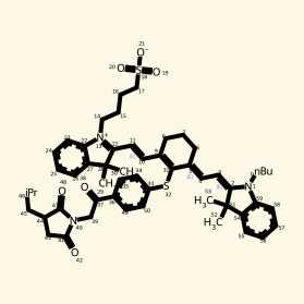 CCCCN1/C(=C/C=C2\CCCC(/C=C/C3=[N+](CCCCS(=O)(=O)[O-])c4ccccc4C3(C)C)=C2Sc2ccc(C(=O)CN3C(=O)CC(CC(C)C)C3=O)cc2)C(C)(C)c2ccccc21